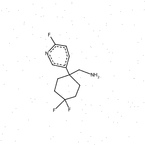 NCC1(c2ccc(F)nc2)CCC(F)(F)CC1